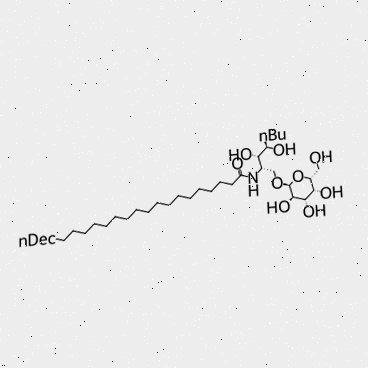 CCCCCCCCCCCCCCCCCCCCCCCCCCCC(=O)N[C@@H](CO[C@H]1O[C@H](CO)[C@H](O)[C@H](O)[C@H]1O)[C@H](O)[C@H](O)CCCC